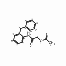 CC(=O)OCC(=O)Nc1ccccc1Cc1ccccc1